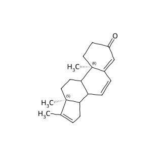 CC1=CCC2C3C=CC4=CC(=O)CC[C@]4(C)C3CC[C@]12C